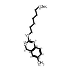 CCCCCCCCCCCCCCCCOC1=Nc2ccc(C)cc2CO1